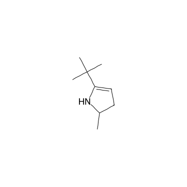 CC1CC=C(C(C)(C)C)N1